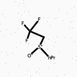 CCC[S+]([O-])CC(F)(F)F